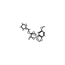 COc1ccc(OC)c(S(=O)(=O)OC(C)C(=O)OCC2CCCO2)c1